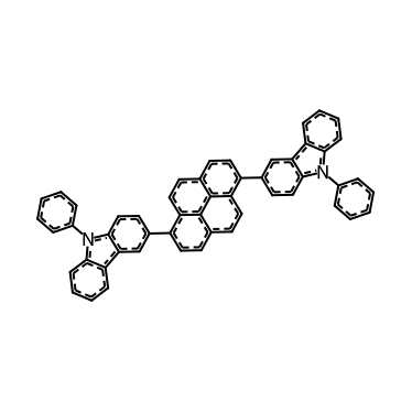 c1ccc(-n2c3ccccc3c3cc(-c4ccc5ccc6c(-c7ccc8c(c7)c7ccccc7n8-c7ccccc7)ccc7ccc4c5c76)ccc32)cc1